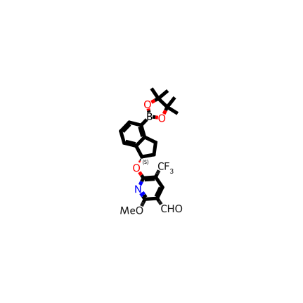 COc1nc(O[C@H]2CCc3c(B4OC(C)(C)C(C)(C)O4)cccc32)c(C(F)(F)F)cc1C=O